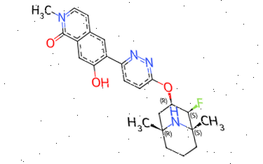 Cn1ccc2cc(-c3ccc(O[C@@H]4C[C@@]5(C)CCC[C@](C)(N5)[C@@H]4F)nn3)c(O)cc2c1=O